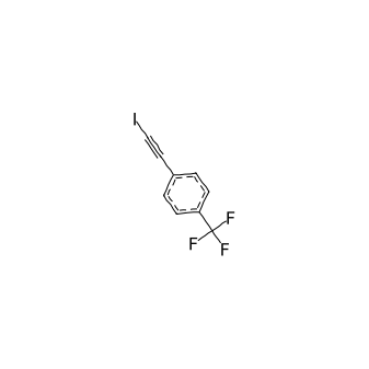 FC(F)(F)c1ccc(C#CI)cc1